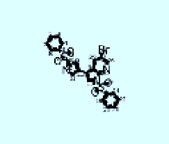 O=S(=O)(c1ccccc1)n1cc(-c2cn(S(=O)(=O)c3ccccc3)c3ncc(Br)cc23)cn1